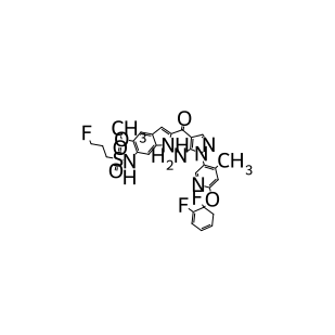 COc1cc2cc(C(=O)c3cnn(-c4cnc(OC5(F)CC=CC=C5F)cc4C)c3N)[nH]c2cc1NS(=O)(=O)CCCF